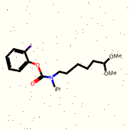 COC(CCCCCN(C(=O)Oc1ccccc1I)C(C)C)OC